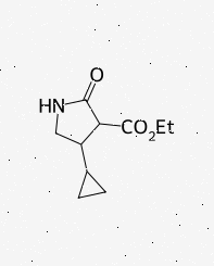 CCOC(=O)C1C(=O)NCC1C1CC1